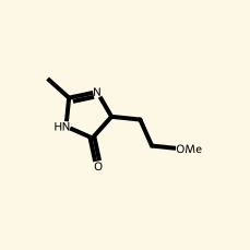 COCCC1N=C(C)NC1=O